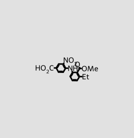 CCc1cccc(Nc2ccc(C(=O)O)cc2[N+](=O)[O-])c1C(=O)OC